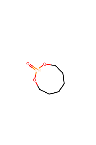 O=[PH]1OCCCCCCO1